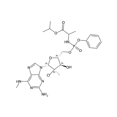 CNc1nc(N)nc2c1ncn2[C@@H]1O[C@H](COP(=O)(NC(C)C(=O)OC(C)C)Oc2ccccc2)[C@@H](O)[C@@]1(C)Cl